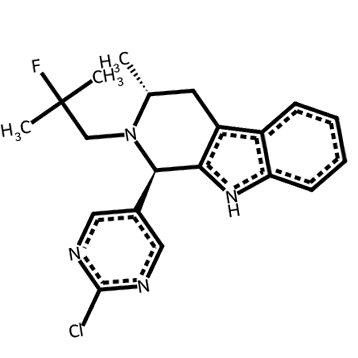 C[C@@H]1Cc2c([nH]c3ccccc23)[C@@H](c2cnc(Cl)nc2)N1CC(C)(C)F